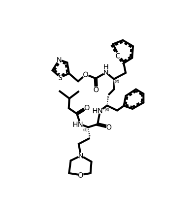 CC(C)CC(=O)N[C@@H](CCN1CCOCC1)C(=O)N[C@H](CC[C@H](Cc1ccccc1)NC(=O)OCc1cncs1)Cc1ccccc1